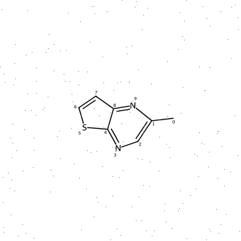 Cc1cnc2sccc2n1